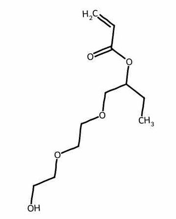 C=CC(=O)OC(CC)COCCOCCO